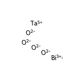 [Bi+3].[O-2].[O-2].[O-2].[O-2].[Ta+5]